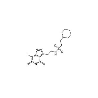 Cn1c(=O)c2c(ncn2CCNS(=O)(=O)CCN2CCCCC2)n(C)c1=O